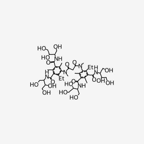 CCc1c(C(=O)NC(CO)C(O)CO)c(C)c(C(=O)NC(CO)C(O)CO)c(C)c1N(C)C(=O)CC(=O)N(C)c1c(C)c(C(=O)NC(CO)C(O)CO)c(C)c(C(=O)NC(CO)C(O)CO)c1CC